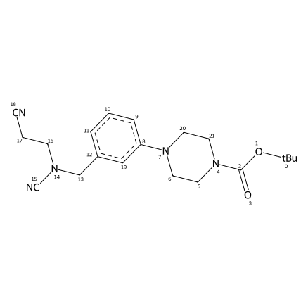 CC(C)(C)OC(=O)N1CCN(c2cccc(CN(C#N)CCC#N)c2)CC1